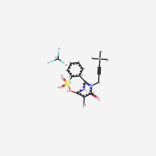 CCc1c2nc(n(CC#C[Si](C)(C)C)c1=O)-c1ccccc1S(=O)(=O)O2.FC(F)F